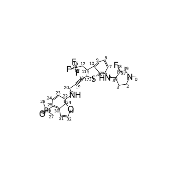 CN1CC[C@@H](Nc2cccc3c(CC(F)(F)F)c(C#CCNc4ccc(P(C)(C)=O)c5ccoc45)sc23)[C@@H](F)C1